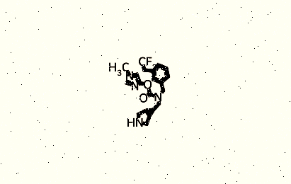 Cn1cnc(OC(=O)N(Cc2cccc(CC(F)(F)F)c2)CC2C3CNCC32)c1